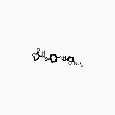 O=C1OCCC1NSc1ccc(NCc2ccc([N+](=O)[O-])o2)cc1